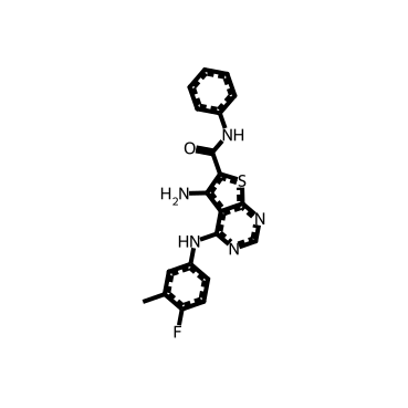 Cc1cc(Nc2ncnc3sc(C(=O)Nc4ccccc4)c(N)c23)ccc1F